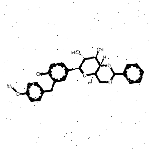 CCOc1ccc(Cc2cc([C@@H]3O[C@@H]4COC(c5ccccc5)O[C@H]4[C@H](O)[C@H]3O)ccc2Cl)cc1